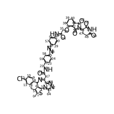 Cc1sc2c(c1C)C(c1ccc(Cl)cc1)=N[C@@H](CC(=O)NCc1ccc(/N=N/c3ccc(NC(=O)COc4cccc5c4C(=O)N(C4CCC(=O)NC4=O)C5=O)cc3)cc1)c1nnc(C)n1-2